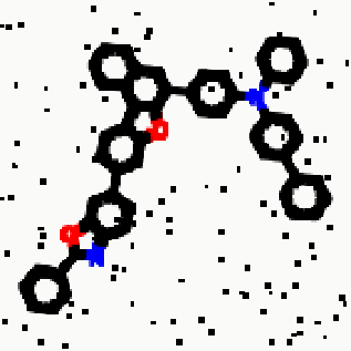 c1ccc(-c2ccc(N(c3ccccc3)c3ccc(-c4cc5ccccc5c5c4oc4cc(-c6ccc7nc(-c8ccccc8)oc7c6)ccc45)cc3)cc2)cc1